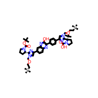 CC(C)(C)OC(=O)N1CCC[C@H]1c1nc(-c2ccc3nc(-c4ccc(-c5cn(COCC[Si](C)(C)C)c([C@@]6(C(C)(C)C)CCCN6C(=O)O)n5)cc4)c(O)nc3c2)cn1COCC[Si](C)(C)C